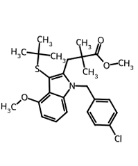 COC(=O)C(C)(C)Cc1c(SC(C)(C)C)c2c(OC)cccc2n1Cc1ccc(Cl)cc1